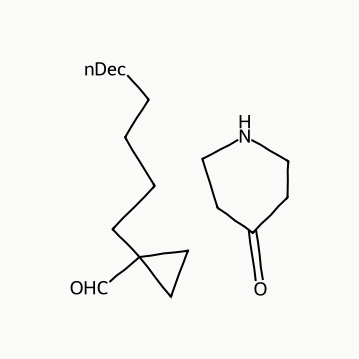 CCCCCCCCCCCCCCC1(C=O)CC1.O=C1CCNCC1